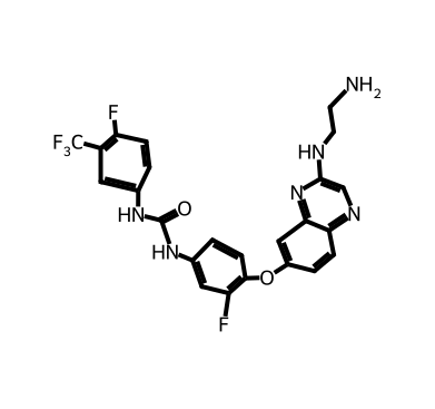 NCCNc1cnc2ccc(Oc3ccc(NC(=O)Nc4ccc(F)c(C(F)(F)F)c4)cc3F)cc2n1